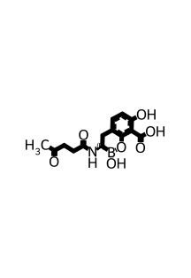 CC(=O)CCC(=O)N[C@H]1Cc2ccc(O)c(C(=O)O)c2OB1O